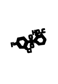 O=C(O)C1=CCCC[C@H]1S(=O)(=O)c1ccc(F)cc1Cl